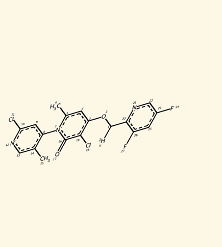 [2H]C(Oc1cc(C)n(-c2cc(Cl)ncc2C)c(=O)c1Cl)c1ncc(F)cc1F